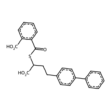 O=C(O)c1ccccc1C(=O)SC(CCc1ccc(-c2ccccc2)cc1)C(=O)O